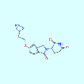 O=C1CCC(N2Cc3cc(OCCC4CNC4)ccc3C2=O)C(=O)N1